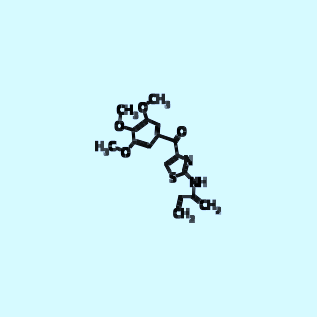 C=CC(=C)Nc1nc(C(=O)c2cc(OC)c(OC)c(OC)c2)cs1